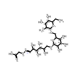 CCC1O[C@H](OCC2O[C@H](OCC(O)[C@@H](O)[C@@H](O)C(O)/C=N/OCC(=O)O)C(O)[C@H](O)[C@@H]2O)C(C)[C@H](O)[C@@H]1O